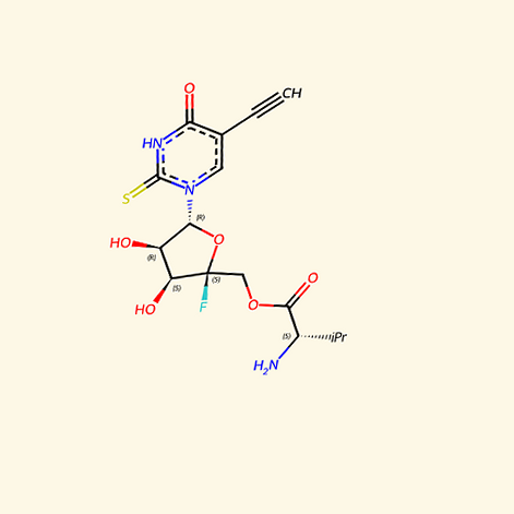 C#Cc1cn([C@@H]2O[C@](F)(COC(=O)[C@@H](N)C(C)C)[C@@H](O)[C@H]2O)c(=S)[nH]c1=O